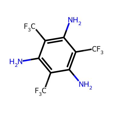 Nc1c(C(F)(F)F)c(N)c(C(F)(F)F)c(N)c1C(F)(F)F